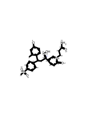 Cc1cc(Cl)ccc1C(C/C(=N/O)c1ccc(=O)n(CCC(N)=O)c1)c1ccc(S(C)(=O)=O)cc1